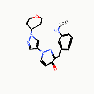 CCOC(=O)Nc1cccc(Cc2nn(-c3cnn(C4CCOCC4)c3)ccc2=O)c1